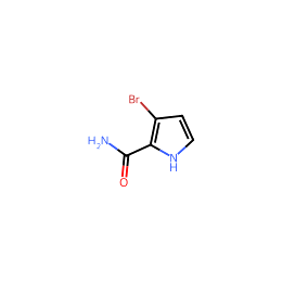 NC(=O)c1[nH]ccc1Br